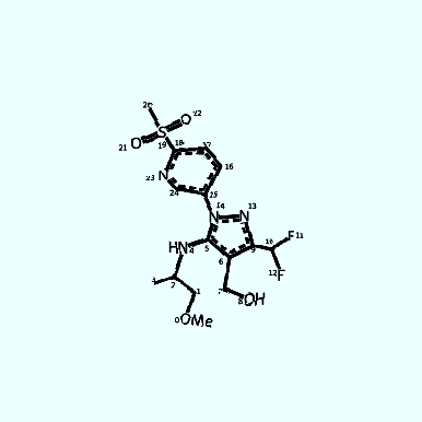 COCC(C)Nc1c(CO)c(C(F)F)nn1-c1ccc(S(C)(=O)=O)nc1